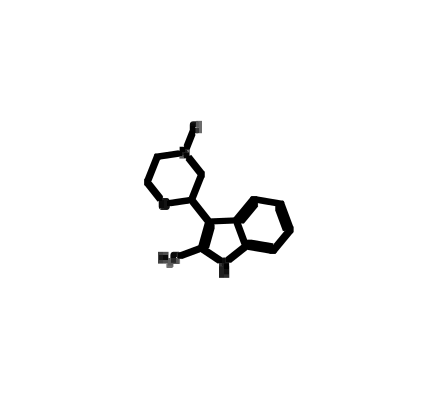 Cc1[nH]c2ccccc2c1C1CN(Cl)CCO1